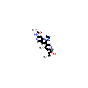 [2H][C@@](O)(CCC)c1cc(C)c(-c2cc3cnc(NC(C)=O)cc3n3ccnc23)cn1